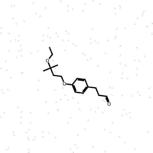 CCOC(C)(C)CCOc1ccc(CCC=O)cc1